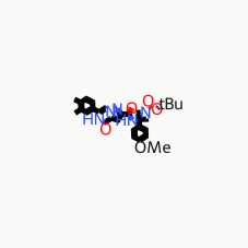 COc1ccc(C2(NC(=O)c3cc4c(=O)[nH]c(-c5ccc(C)c(C)c5)cn4n3)CN(C(=O)OC(C)(C)C)C2)cc1